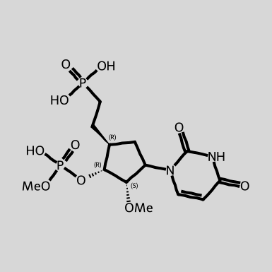 CO[C@H]1C(n2ccc(=O)[nH]c2=O)C[C@H](CCP(=O)(O)O)[C@H]1OP(=O)(O)OC